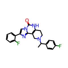 CC(c1ccc(F)cc1)N1CCc2[nH]c(=O)n3cc(-c4ccccc4F)nc3c2C1